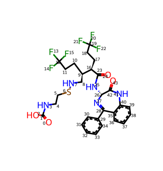 O=C(O)NCCSNC[C@@H](CCC(F)(F)F)[C@@H](CCC(F)(F)F)C(=O)N[C@H]1N=C(c2ccccc2)c2ccccc2NC1=O